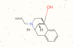 C=CCN1CC[C@]23CC(O)CC[C@H]2[C@H]1Cc1ccccc13